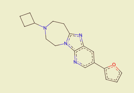 c1coc(-c2cnc3c(c2)nc2n3CCN(C3CCC3)CC2)c1